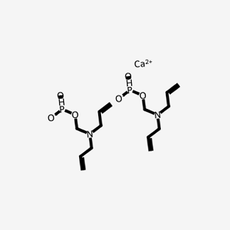 C=CCN(CC=C)CO[PH](=O)[O-].C=CCN(CC=C)CO[PH](=O)[O-].[Ca+2]